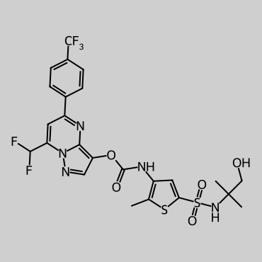 Cc1sc(S(=O)(=O)NC(C)(C)CO)cc1NC(=O)Oc1cnn2c(C(F)F)cc(-c3ccc(C(F)(F)F)cc3)nc12